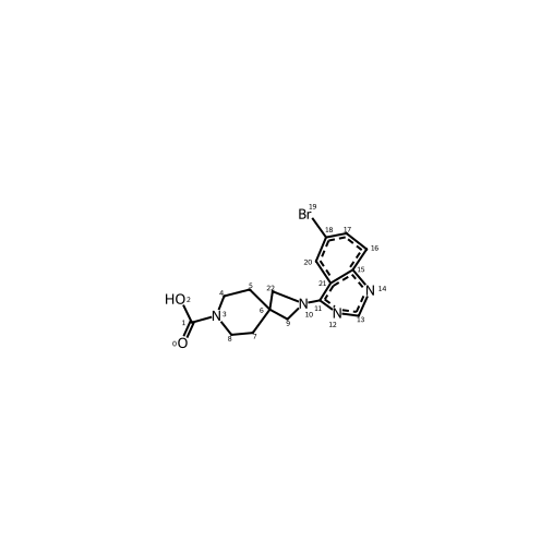 O=C(O)N1CCC2(CC1)CN(c1ncnc3ccc(Br)cc13)C2